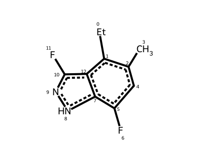 CCc1c(C)cc(F)c2[nH]nc(F)c12